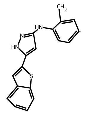 Cc1c[c]ccc1Nc1cc(-c2cc3ccccc3s2)[nH]n1